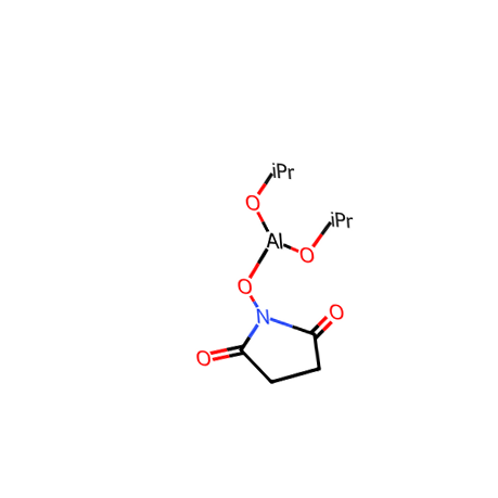 CC(C)[O][Al]([O]C(C)C)[O]N1C(=O)CCC1=O